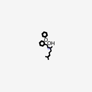 CC(C)=CCC/C(C)=C/C(O)c1ccccc1Oc1ccccc1